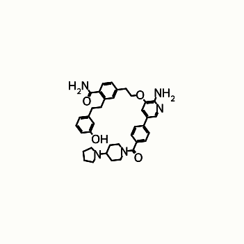 NC(=O)c1ccc(CCOc2cc(-c3ccc(C(=O)N4CCC(N5CCCC5)CC4)cc3)cnc2N)cc1CCc1cccc(O)c1